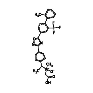 Cc1ccccc1-c1ccc(-c2nc(-c3ccc(C(C)[N+](C)([O-])CC(=O)O)cc3)no2)cc1C(F)(F)F